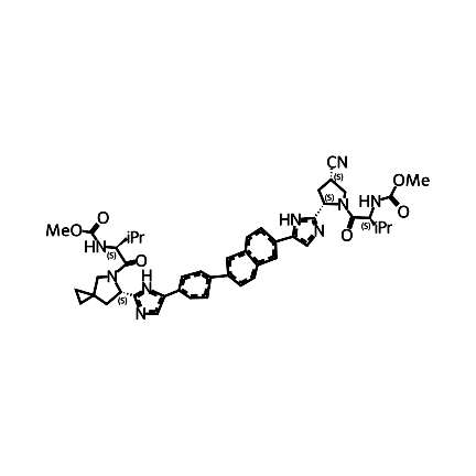 COC(=O)N[C@H](C(=O)N1C[C@@H](C#N)C[C@H]1c1ncc(-c2ccc3cc(-c4ccc(-c5cnc([C@@H]6CC7(CC7)CN6C(=O)[C@@H](NC(=O)OC)C(C)C)[nH]5)cc4)ccc3c2)[nH]1)C(C)C